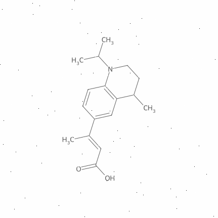 CC(=CC(=O)O)c1ccc2c(c1)C(C)CCN2C(C)C